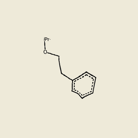 C[C](C)OCCc1ccccc1